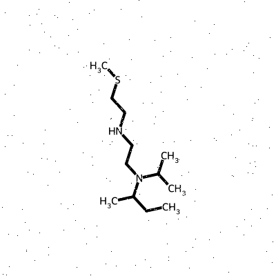 CCC(C)N(CCNCCSC)C(C)C